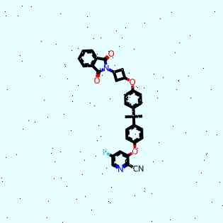 CC(C)(c1ccc(Oc2cc(F)cnc2C#N)cc1)c1ccc(OC2CC(N3C(=O)c4ccccc4C3=O)C2)cc1